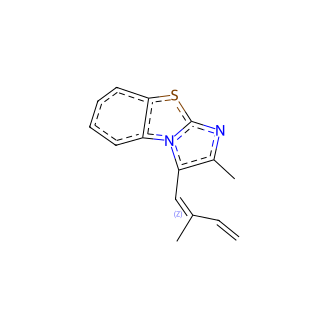 C=C/C(C)=C\c1c(C)nc2sc3ccccc3n12